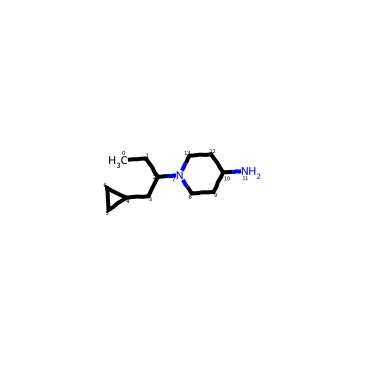 CCC(CC1CC1)N1CCC(N)CC1